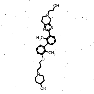 Cc1c(OCCCN2CCC(O)CC2)cccc1-c1cccc(-c2nc3c(s2)CN(CCO)CC3)c1C